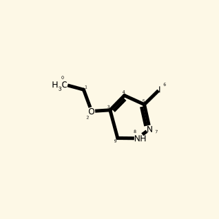 CCOC1=CC(I)=NNC1